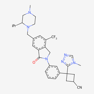 CC(C)C1CN(C)CCN1Cc1cc2c(c(C(F)(F)F)c1)CN(c1cccc(C3(c4nncn4C)CC(C#N)C3)c1)C2=O